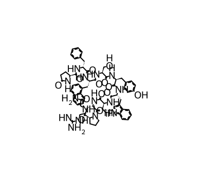 CC(C)C[C@H](NC(=O)[C@@H](Cc1c[nH]c2ccccc12)NC(=O)[C@H](Cc1ccc(O)cc1)NC(=O)[C@H](CO)NC(=O)[C@H](Cc1cccc2ccccc12)NC(=O)[C@@H](Cc1ccccc1)NC(=O)[C@@H]1CCC(=O)N1)C(=O)N[C@@H](CCCNC(=N)N)C(=O)N1CCC[C@H]1C(=O)NCC(N)=O